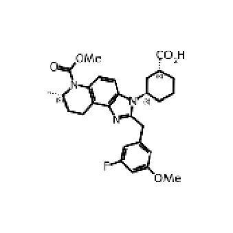 COC(=O)N1c2ccc3c(nc(Cc4cc(F)cc(OC)c4)n3[C@@H]3CCC[C@@H](C(=O)O)C3)c2CC[C@@H]1C